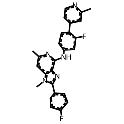 Cc1cc(-c2ccc(Nc3nc(C)cc4c3nc(-c3ccc(F)cc3)n4C)cc2F)ccn1